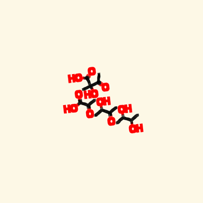 CC(=O)C(=O)O.CC(=O)C(C)(O)C(=O)O.CC(=O)C(C)O.CC(O)C(C)O